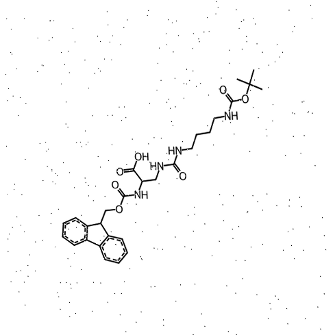 CC(C)(C)OC(=O)NCCCCNC(=O)NCC(NC(=O)OCC1c2ccccc2-c2ccccc21)C(=O)O